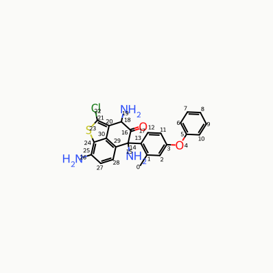 Cc1cc(Oc2ccccc2)ccc1C1(N)C(=O)C(N)c2c(Cl)sc3c(N)ccc1c23